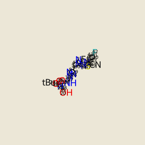 CCc1nc2ccc(-c3cnc(N4CC(NC(=O)[C@H]5C[C@@H](O)CN5C(=O)OC(C)(C)C)C4)nc3)cn2c1N(C)c1nc(-c2ccc(F)cc2)c(C#N)s1